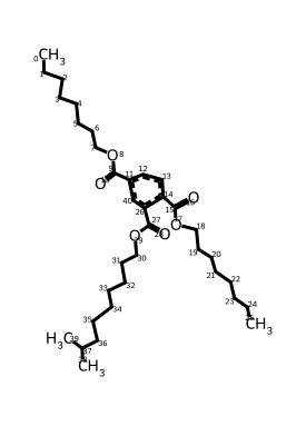 CCCCCCCCOC(=O)c1ccc(C(=O)OCCCCCCCC)c(C(=O)OCCCCCCCC(C)C)c1